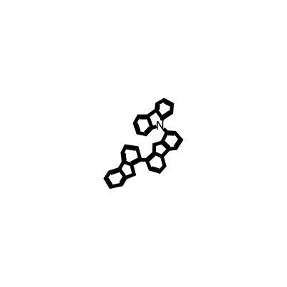 C1=CC(c2cccc3c2Cc2ccccc2-3)=C2Cc3c(cccc3-n3c4ccccc4c4ccccc43)C2C1